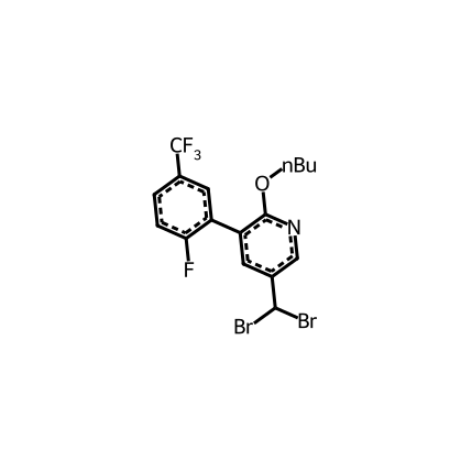 CCCCOc1ncc(C(Br)Br)cc1-c1cc(C(F)(F)F)ccc1F